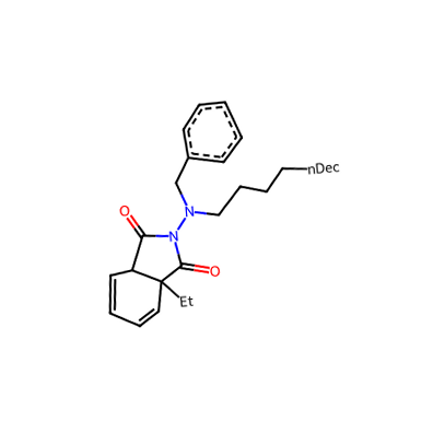 CCCCCCCCCCCCCCN(Cc1ccccc1)N1C(=O)C2C=CC=CC2(CC)C1=O